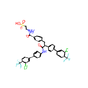 O=C(NCCS(=O)(=O)O)c1ccc(CC(C(=O)Nc2ccc(-c3ccc(C(F)(F)F)c(Cl)c3)cc2)c2ccc(-c3ccc(C(F)(F)F)c(Cl)c3)cc2)cc1